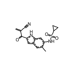 C=C(C#N)C(=O)c1cc2cc(C)c(NS(=O)(=O)C3CC3)cc2[nH]1